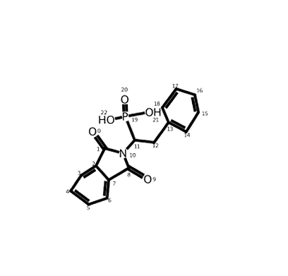 O=C1c2ccccc2C(=O)N1C(Cc1ccccc1)P(=O)(O)O